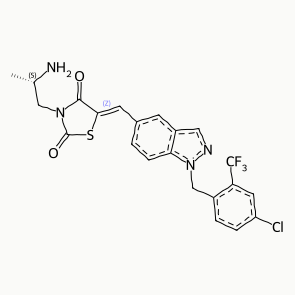 C[C@H](N)CN1C(=O)S/C(=C\c2ccc3c(cnn3Cc3ccc(Cl)cc3C(F)(F)F)c2)C1=O